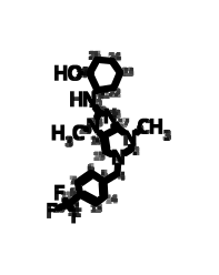 CN1CN(Cc2ccc(C(F)(F)F)cc2)C=C2C1=NC(N[C@@H]1CCCC[C@H]1O)N2C